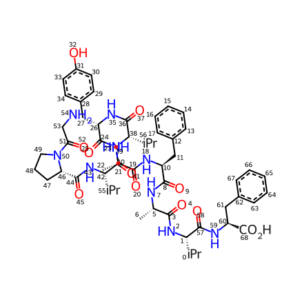 CC(C)[C@H](NC(=O)[C@H](C)NC(=O)[C@H](Cc1ccccc1)NC(=O)[C@H](C)NC(=O)[C@H](Cc1ccc(O)cc1)NC(=O)[C@@H](NC(=O)[C@@H](NC(=O)[C@@H]1CCCN1C(=O)CN)C(C)C)C(C)C)C(=O)N[C@@H](Cc1ccccc1)C(=O)O